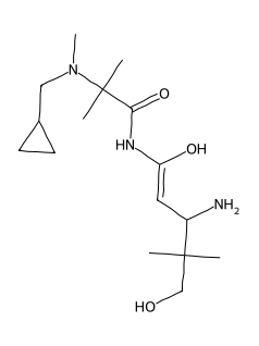 CN(CC1CC1)C(C)(C)C(=O)N/C(O)=C/C(N)C(C)(C)CO